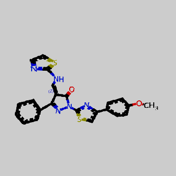 COc1ccc(-c2csc(N3N=C(c4ccccc4)/C(=C/Nc4nccs4)C3=O)n2)cc1